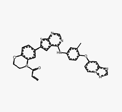 C=CC(=O)N1CCOc2ccc(-c3cc4c(Nc5ccc(Oc6ccn7ncnc7c6)c(C)c5)ncnc4s3)cc21